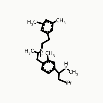 CPC(CC(C)C)c1ccc(CC(C)NCCc2cc(C)cc(C)c2)c(C)c1